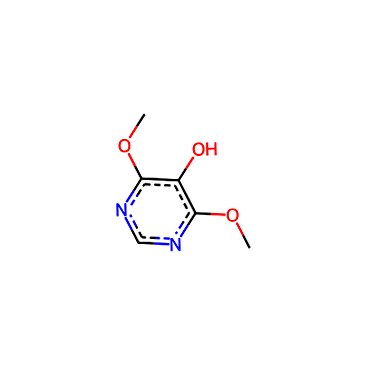 COc1ncnc(OC)c1O